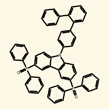 O=P(c1ccccc1)(c1ccccc1)c1ccc2c(c1)c1cc(P(=O)(c3ccccc3)c3ccccc3)ccc1n2-c1ccc(-c2ccccc2-c2ccccc2)cc1